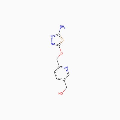 Nc1nnc(OCc2ccc(CO)cn2)s1